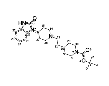 CC(C)(C)OC(=O)N1CCC(CCN2CCC(n3c(=O)[nH]c4ccccc43)CC2)CC1